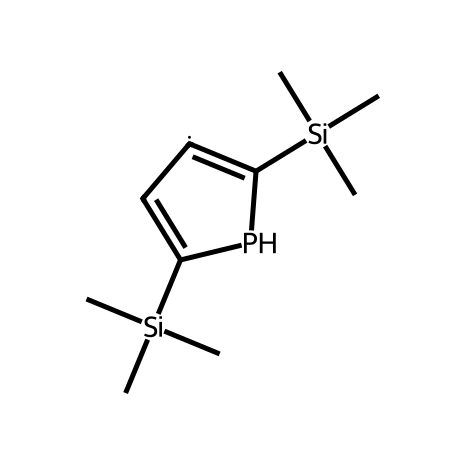 C[Si](C)(C)c1[c]cc([Si](C)(C)C)[pH]1